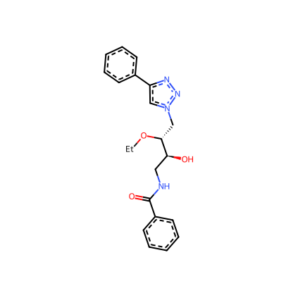 CCO[C@H](Cn1cc(-c2ccccc2)nn1)[C@@H](O)CNC(=O)c1ccccc1